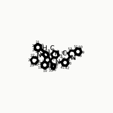 CC1C=CC2=C(C1)C1(c3ccccc3-c3c1ccc1c4ccccc4n(C4=CCCC=C4)c31)c1ccccc1N2c1cccc(C2=Nc3ccccc3CC2C)c1